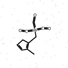 CC1=C([CH2][W](=[C]=O)(=[C]=O)=[C]=O)CC=C1